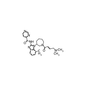 Cc1cccc2nc(NC(=O)c3ccncn3)n(C3CCCCN(C(=O)/C=C/CN(C)C)C3)c12